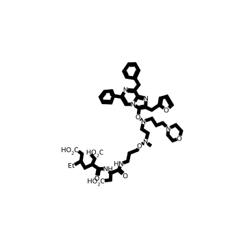 CCC(CC(=O)O)CC(CC(=O)O)C(=O)NC(CC(=O)O)C(=O)NCCCON(C)CCN(CCCN1CCOCC1)Oc1c(Cc2ccco2)nc2c(Cc3ccccc3)nc(-c3ccccc3)cn12